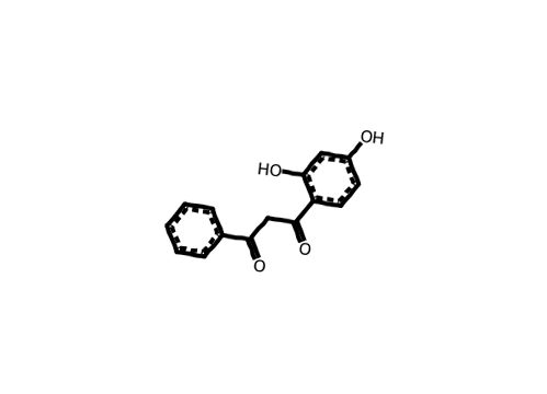 O=C(CC(=O)c1ccc(O)cc1O)c1ccccc1